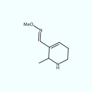 CON=CC1=CCCNC1C